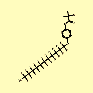 CCC(C)(C)C(=O)Oc1ccc(OC(F)(F)C(F)(F)C(F)(F)C(F)(F)C(F)(F)C(F)(F)C(F)(F)C(F)(F)C(F)(F)C(F)(F)C(F)(F)C(F)(F)F)cc1